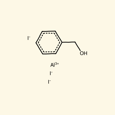 OCc1ccccc1.[Al+3].[I-].[I-].[I-]